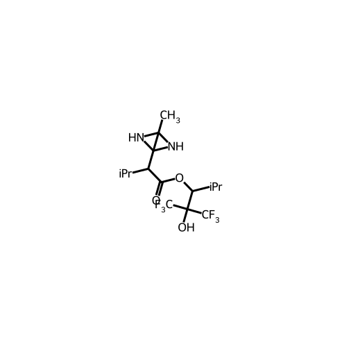 CC(C)C(C(=O)OC(C(C)C)C(O)(C(F)(F)F)C(F)(F)F)C12NC1(C)N2